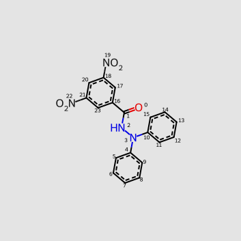 O=C(NN(c1ccccc1)c1ccccc1)c1cc([N+](=O)[O-])cc([N+](=O)[O-])c1